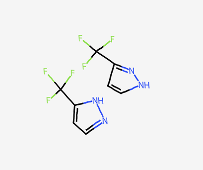 FC(F)(F)c1cc[nH]n1.FC(F)(F)c1ccn[nH]1